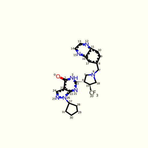 O=c1[nH]c([C@@H]2CN(Cc3ccc4nccnc4c3)C[C@H]2C(F)(F)F)nc2c1cnn2C1CCCC1